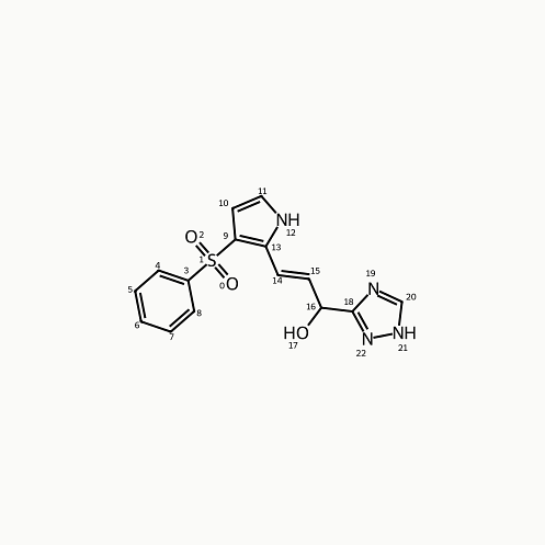 O=S(=O)(c1ccccc1)c1cc[nH]c1C=CC(O)c1nc[nH]n1